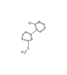 CSc1cccc(-c2cccnc2Cl)c1